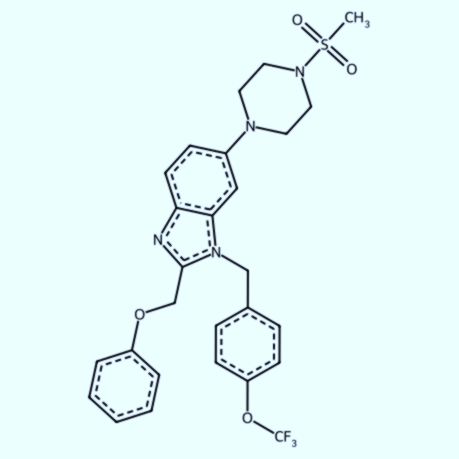 CS(=O)(=O)N1CCN(c2ccc3nc(COc4ccccc4)n(Cc4ccc(OC(F)(F)F)cc4)c3c2)CC1